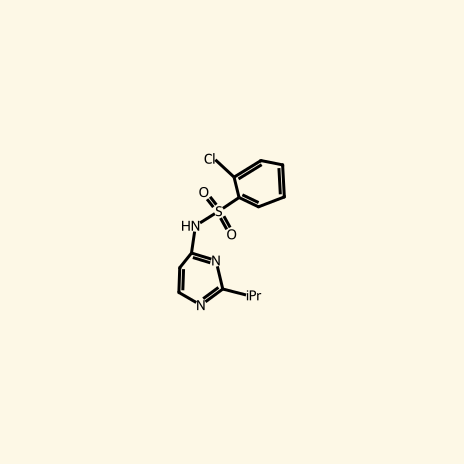 CC(C)c1nccc(NS(=O)(=O)c2ccccc2Cl)n1